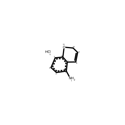 Cl.Nc1cccc2c1C=CCO2